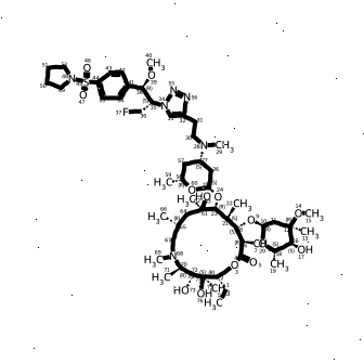 CC[C@H]1OC(=O)[C@H](C)[C@@H](O[C@H]2C[C@@](C)(OC)[C@@H](O)[C@H](C)O2)[C@H](C)[C@@H](O[C@H]2C[C@@H](N(C)CCc3cn([C@H](CF)[C@H](OC)c4ccc(S(=O)(=O)N5CCCC5)cc4)nn3)C[C@@H](C)O2)[C@](C)(O)C[C@@H](C)CN(C)[C@H](C)[C@@H](O)[C@]1(C)O